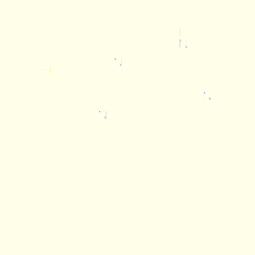 CCCc1nc(S)nc2[nH]cnc12